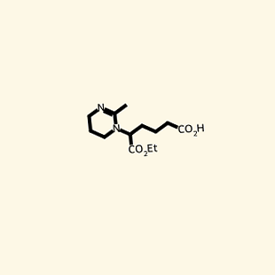 CCOC(=O)C(CCCC(=O)O)N1CCCN=C1C